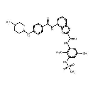 COc1c(NC(=O)c2cc3cccc(NC(=O)c4ccc(NN5CCN(C)CC5)nc4)c3s2)cc(C(C)(C)C)cc1NS(C)(=O)=O